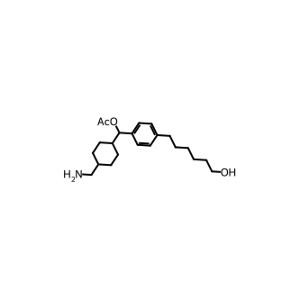 CC(=O)OC(c1ccc(CCCCCCO)cc1)C1CCC(CN)CC1